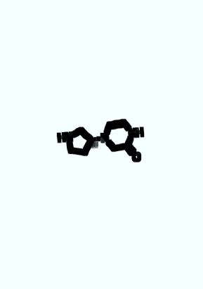 O=C1CN([C@@H]2CCNC2)C=CN1